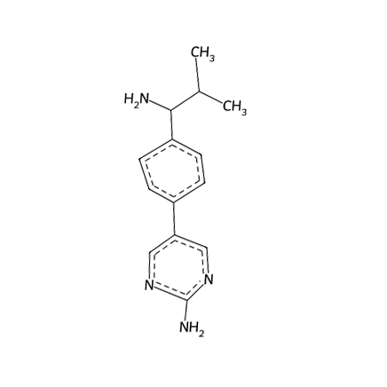 CC(C)C(N)c1ccc(-c2cnc(N)nc2)cc1